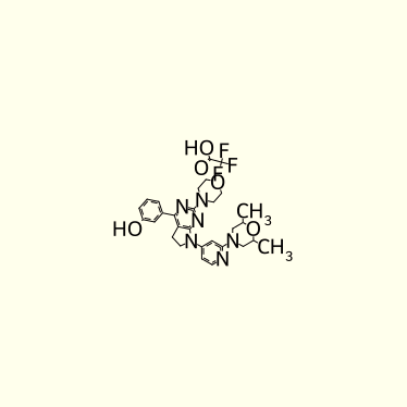 CC1CN(c2cc(N3CCc4c(-c5cccc(O)c5)nc(N5CCOCC5)nc43)ccn2)CC(C)O1.O=C(O)C(F)(F)F